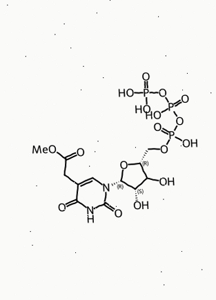 COC(=O)Cc1cn([C@@H]2O[C@H](COP(=O)(O)OP(=O)(O)OP(=O)(O)O)C(O)[C@@H]2O)c(=O)[nH]c1=O